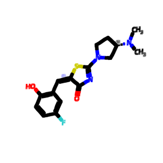 CN(C)[C@H]1CCN(C2=NC(=O)/C(=C\c3cc(F)ccc3O)S2)C1